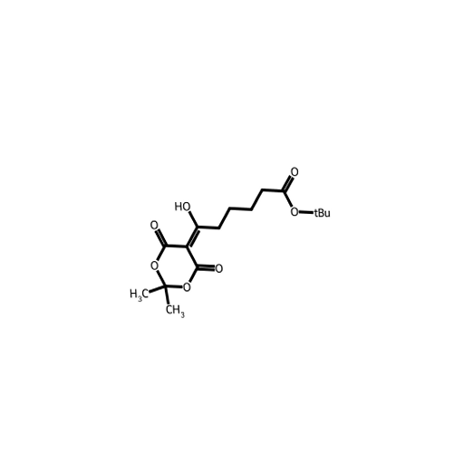 CC(C)(C)OC(=O)CCCCC(O)=C1C(=O)OC(C)(C)OC1=O